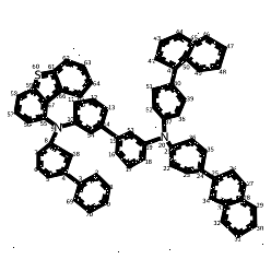 c1ccc(-c2cccc(N(c3cccc(-c4cccc(N(c5ccc(-c6ccc7ccccc7c6)cc5)c5ccc(-c6cccc7ccccc67)cc5)c4)c3)c3cccc4sc5ccccc5c34)c2)cc1